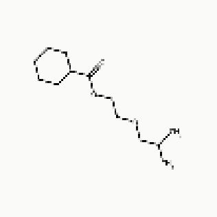 CC(C)COCCOC(=O)C1CCCCC1